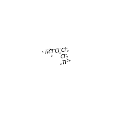 [Cl-].[Cl-].[Cl-].[Cl-].[Ti+2].[Ti+2]